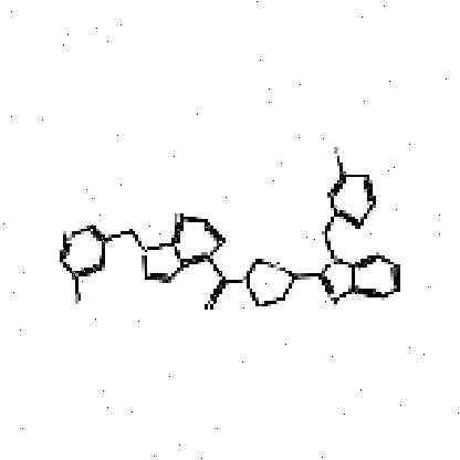 O=C(c1ccnc2c1ccn2Cc1cncc(F)c1)N1CCC(c2nc3ccccc3n2Cc2cccc(F)c2)CC1